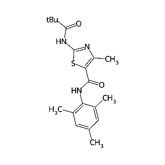 Cc1cc(C)c(NC(=O)c2sc(NC(=O)C(C)(C)C)nc2C)c(C)c1